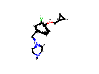 CN1CCN(Cc2ccc(OCC3CC3)c(Cl)c2)CC1